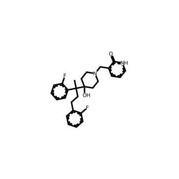 CC(CCc1ccccc1F)(c1ccccc1F)C1(O)CCN(Cc2ccc[nH]c2=O)CC1